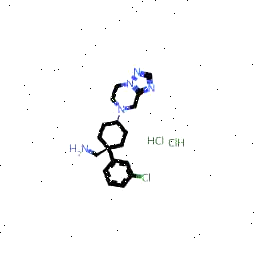 Cl.Cl.NC[C@]1(c2cccc(Cl)c2)CC[C@@H](N2CCn3ncnc3C2)CC1